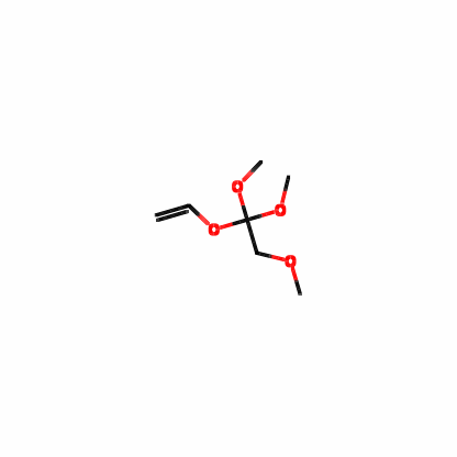 C=COC(COC)(OC)OC